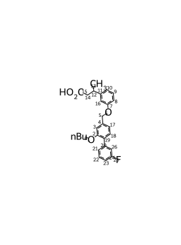 CCCCOc1cc(COc2cccc([C@H](C)CC(=O)O)c2)ccc1-c1cccc(F)c1